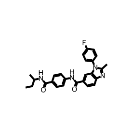 CCC(C)NC(=O)c1ccc(NC(=O)c2ccc3nc(C)n(-c4ccc(F)cc4)c3c2)cc1